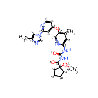 COC1(C(=O)NC(=O)Nc2cc(C)c(Oc3ccnc(-n4cnc(C)c4)c3)cn2)CCCC1